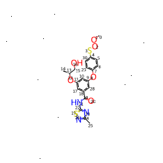 COOSc1ccc(Oc2cc(O[C@@H](C)CO)cc(C(=O)Nc3nc(C)ns3)c2)cc1